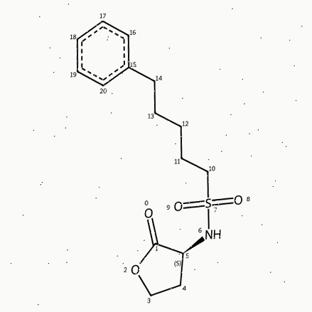 O=C1OCC[C@@H]1NS(=O)(=O)CCCCCc1ccccc1